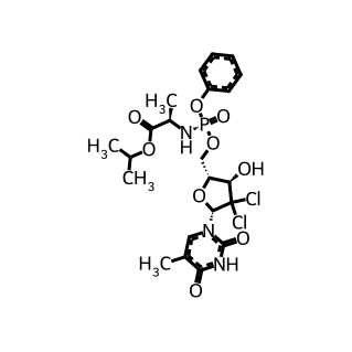 Cc1cn([C@@H]2O[C@H](CO[P@@](=O)(N[C@H](C)C(=O)OC(C)C)Oc3ccccc3)[C@@H](O)C2(Cl)Cl)c(=O)[nH]c1=O